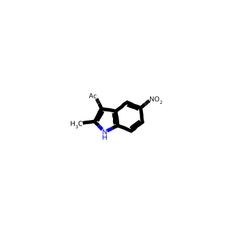 CC(=O)c1c(C)[nH]c2ccc([N+](=O)[O-])cc12